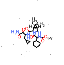 CC(C)OC(=O)N[C@H](C(=O)N1C[C@H]2[C@@H](C1C(=O)NC(CC1CC1)C(=O)C(N)=O)C2(C)C)C1CCCCC1